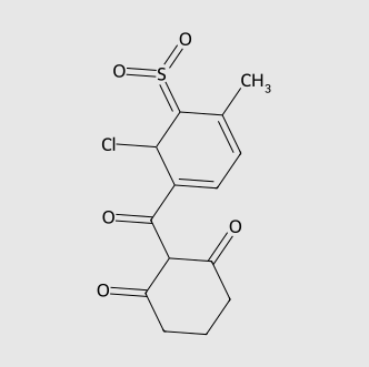 CC1=CC=C(C(=O)C2C(=O)CCCC2=O)C(Cl)C1=S(=O)=O